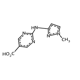 Cn1ccc(Nc2ncc(C(=O)O)cn2)n1